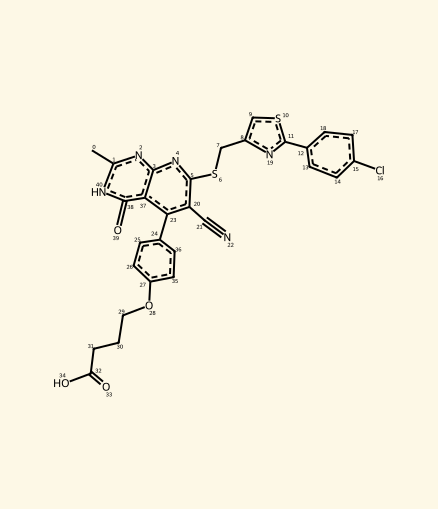 Cc1nc2nc(SCc3csc(-c4ccc(Cl)cc4)n3)c(C#N)c(-c3ccc(OCCCC(=O)O)cc3)c2c(=O)[nH]1